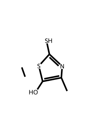 CC.Cc1nc(S)sc1O